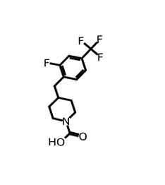 O=C(O)N1CCC(Cc2ccc(C(F)(F)F)cc2F)CC1